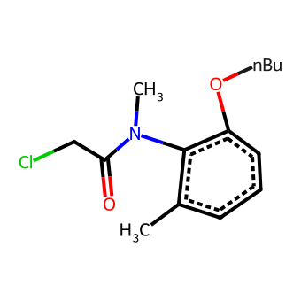 CCCCOc1cccc(C)c1N(C)C(=O)CCl